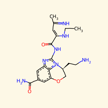 CCN/C(=C\C(C)=N)C(=O)Nc1nc2cc(C(N)=O)cc3c2n1[C@@H](CCN)CO3